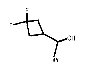 CC(C)C(O)C1CC(F)(F)C1